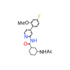 COc1cc(F)ccc1-c1ccnc(NC(=O)C2CCCC(NC(C)=O)C2)c1